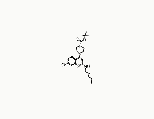 CCCCCNc1cc(N2CCN(C(=O)OC(C)(C)C)CC2)c2ccc(Cl)cc2n1